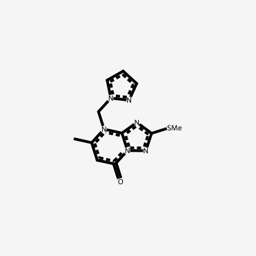 CSc1nc2n(Cn3cccn3)c(C)cc(=O)n2n1